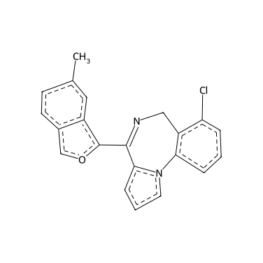 Cc1ccc2coc(C3=NCc4c(Cl)cccc4-n4cccc43)c2c1